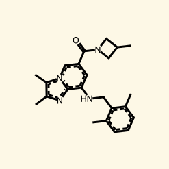 Cc1cccc(C)c1CNc1cc(C(=O)N2CC(C)C2)cn2c(C)c(C)nc12